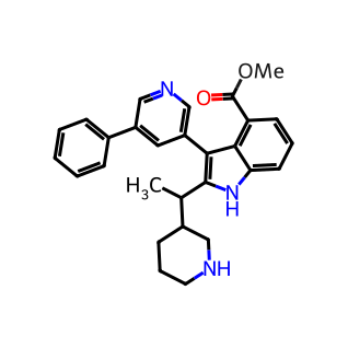 COC(=O)c1cccc2[nH]c(C(C)C3CCCNC3)c(-c3cncc(-c4ccccc4)c3)c12